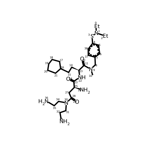 CCN(CC)Sc1ccc(CN(C)C(=O)[C@H](CCC2CCCCC2)NC(=O)[C@@H](N)CC(=O)N(CCN)CCN)cc1